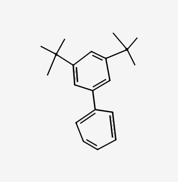 CC(C)(C)c1cc(-c2ccccc2)cc(C(C)(C)C)c1